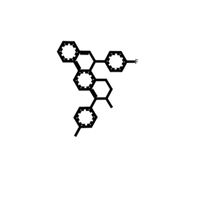 Cc1ccc(C2=c3ccc4c(c3CCC2C)C(c2ccc(F)cc2)C=c2ccccc2=4)cc1